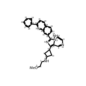 COCCNC1CC(C2=C3C=NC=C[N+]3(N)C(c3ccc4ccc(-c5ccccc5)nc4c3)=N2)C1